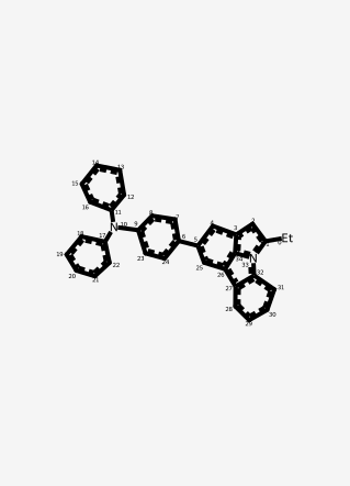 CCc1cc2cc(-c3ccc(N(c4ccccc4)c4ccccc4)cc3)cc3c4ccccc4n1c23